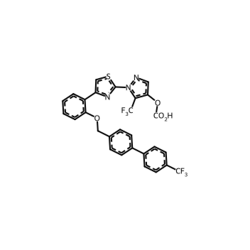 O=C(O)Oc1cnn(-c2nc(-c3ccccc3OCc3ccc(-c4ccc(C(F)(F)F)cc4)cc3)cs2)c1C(F)(F)F